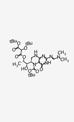 C[C@H](OC(=O)C(OC(C)(C)C)C(=O)OC(C)(C)C)[C@H](O)[C@H]1CNc2nc(/N=C/N(C)C)[nH]c(=O)c2N1C(=O)OC(C)(C)C